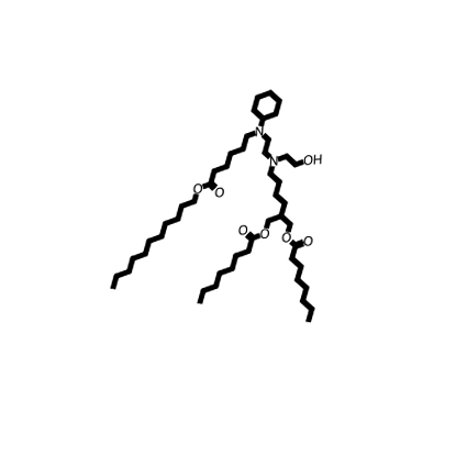 CCCCCCCCCCCOC(=O)CCCCCN(CCN(CCO)CCCCC(COC(=O)CCCCCCC)COC(=O)CCCCCCC)C1CCCCC1